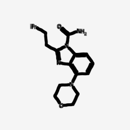 CC(C)CCc1nc2c(N3CCOCC3)cccc2n1C(N)=O